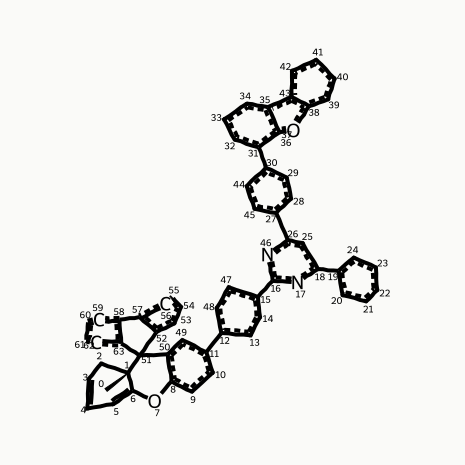 C[C@]12CC=CC=C1Oc1ccc(-c3ccc(-c4nc(-c5ccccc5)cc(-c5ccc(-c6cccc7c6oc6ccccc67)cc5)n4)cc3)cc1C21c2ccccc2-c2ccccc21